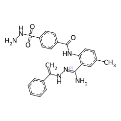 C=C(N/N=C(\N)c1cc(C)ccc1NC(=O)c1ccc(S(=O)(=O)NN)cc1)c1ccccc1